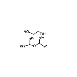 CCCC(CCC)OC(CCC)CCC.OCCO